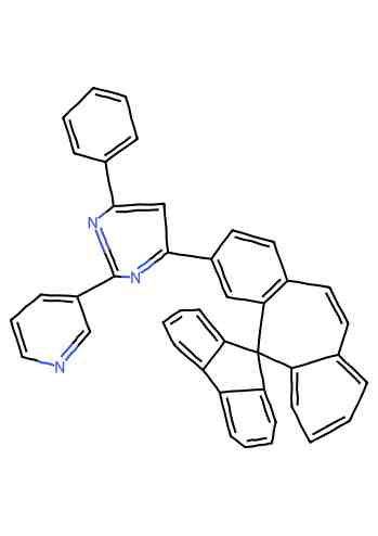 C1=Cc2ccc(-c3cc(-c4ccccc4)nc(-c4cccnc4)n3)cc2C2(c3ccccc31)c1ccccc1-c1ccccc12